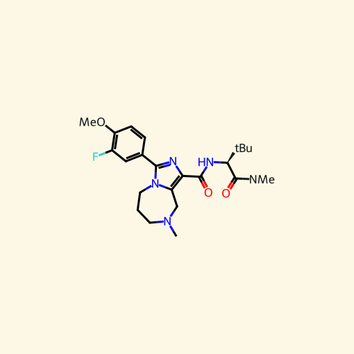 CNC(=O)[C@@H](NC(=O)c1nc(-c2ccc(OC)c(F)c2)n2c1CN(C)CCC2)C(C)(C)C